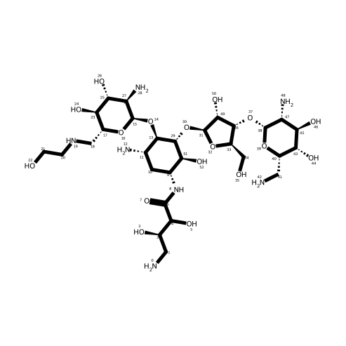 NC[C@@H](O)C(O)C(=O)N[C@@H]1C[C@H](N)[C@@H](O[C@H]2O[C@H](CNCCO)[C@@H](O)[C@H](O)[C@H]2N)[C@H](O[C@@H]2O[C@H](CO)[C@@H](O[C@H]3O[C@@H](CN)[C@@H](O)[C@H](O)[C@H]3N)[C@H]2O)[C@H]1O